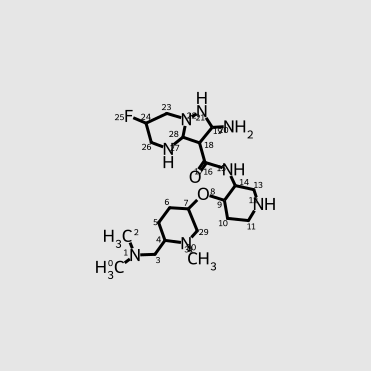 CN(C)CC1CCC(OC2CCNCC2NC(=O)C2C(N)NN3CC(F)CNC23)CN1C